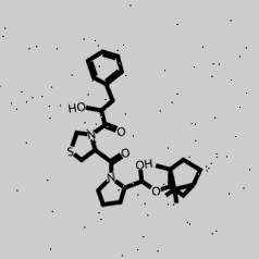 CC1(C)C2CCC1(C)C(OC(O)C1CCCN1C(=O)C1CSCN1C(=O)C(O)Cc1ccccc1)C2